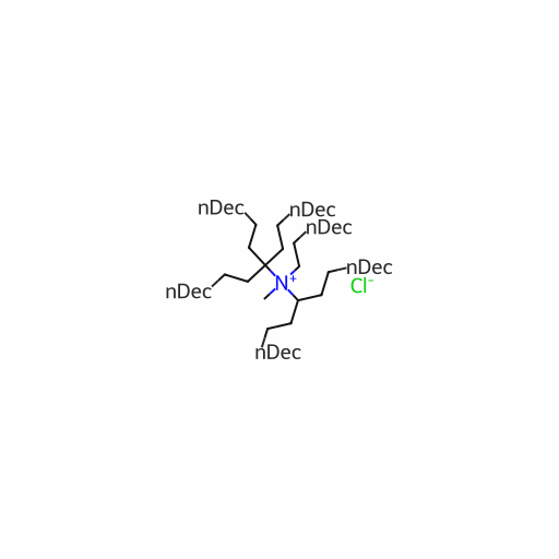 CCCCCCCCCCCCC(CCCCCCCCCCCC)[N+](C)(CCCCCCCCCCCC)C(CCCCCCCCCCCC)(CCCCCCCCCCCC)CCCCCCCCCCCC.[Cl-]